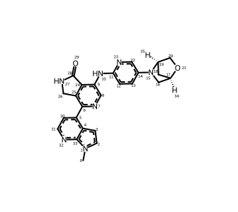 Cn1ccc2c(-c3ncc(Nc4ccc(N5C[C@H]6C[C@@H]5CO6)cn4)c4c3CNC4=O)ccnc21